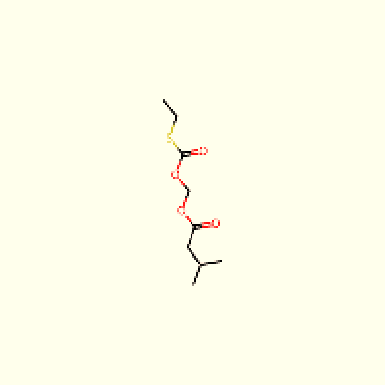 CCSC(=O)OCOC(=O)CC(C)C